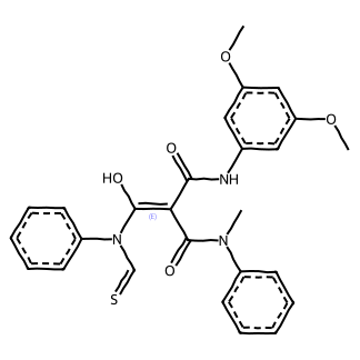 COc1cc(NC(=O)/C(C(=O)N(C)c2ccccc2)=C(\O)N(C=S)c2ccccc2)cc(OC)c1